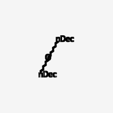 CCCCCCCCCCCCCCCCCOCCCCCCCCCCCCCCCC